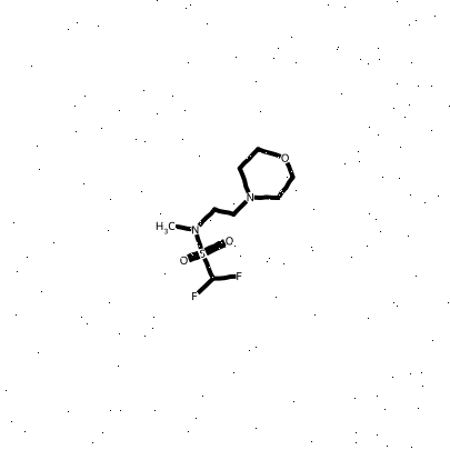 CN(CCN1CCOCC1)S(=O)(=O)C(F)F